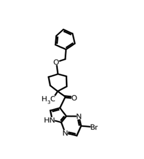 CC1(C(=O)c2c[nH]c3ncc(Br)nc23)CCC(OCc2ccccc2)CC1